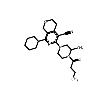 CCCC(=O)N1CCN(c2nc(C3CCCCC3)c3c(c2C#N)CCOC3)CC1C